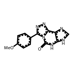 COc1ccc(-c2nnc3c4nc[nH]c4[nH]c(=O)n23)cc1